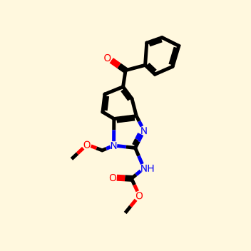 COCn1c(NC(=O)OC)nc2cc(C(=O)c3ccccc3)ccc21